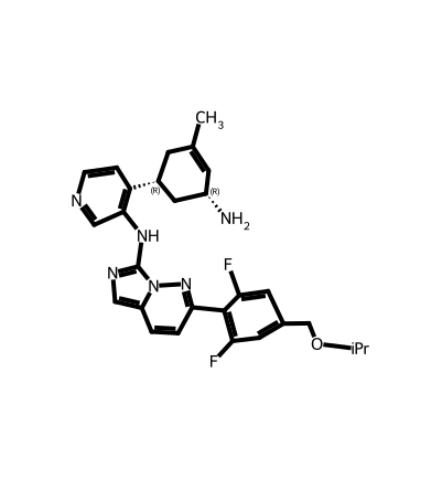 CC1=C[C@H](N)C[C@H](c2ccncc2Nc2ncc3ccc(-c4c(F)cc(COC(C)C)cc4F)nn23)C1